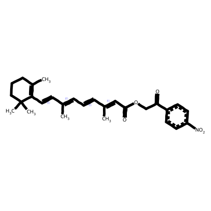 CC1=C(/C=C/C(C)=C/C=C/C(C)=C/C(=O)OCC(=O)c2ccc([N+](=O)[O-])cc2)C(C)(C)CCC1